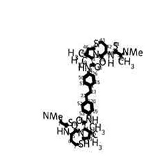 CNCC(=S)N[C@H]1CCS[C@H]2CC(C)(C)[C@@H](C(=O)Nc3ccc(CCc4ccc(NC(=O)[C@H]5N6C(=O)[C@@H](NC(=S)[C@H](C)NC)CCSC6CC5(C)C)cc4)cc3)N2C1=O